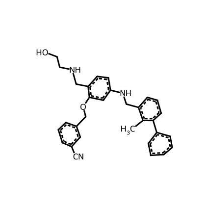 Cc1c(CNc2ccc(CNCCO)c(OCc3cccc(C#N)c3)c2)cccc1-c1ccccc1